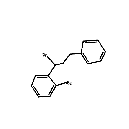 CCC(C)c1ccccc1[C](CCc1ccccc1)C(C)C